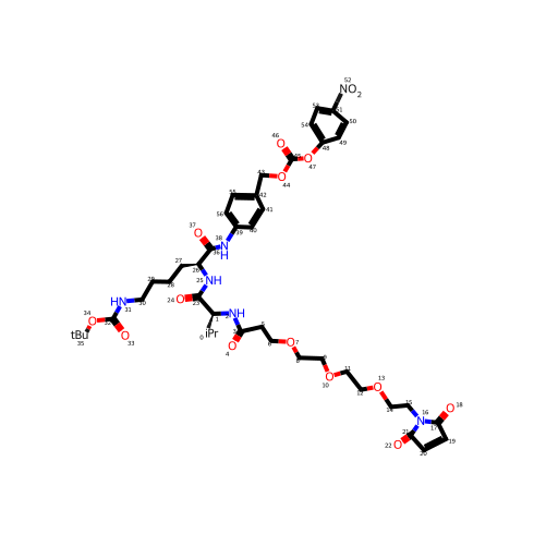 CC(C)[C@H](NC(=O)CCOCCOCCOCCN1C(=O)C=CC1=O)C(=O)N[C@@H](CCCCNC(=O)OC(C)(C)C)C(=O)Nc1ccc(COC(=O)Oc2ccc([N+](=O)[O-])cc2)cc1